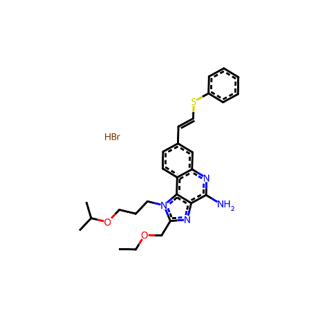 Br.CCOCc1nc2c(N)nc3cc(C=CSc4ccccc4)ccc3c2n1CCCOC(C)C